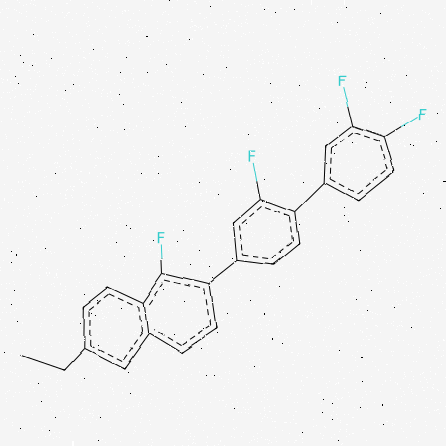 CCc1ccc2c(F)c(-c3ccc(-c4ccc(F)c(F)c4)c(F)c3)ccc2c1